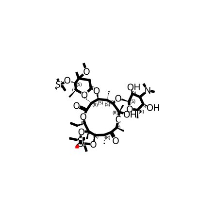 CC[C@H]1OC(=O)[C@H](C)[C@@H](O[C@H]2CC(C)(OC)[C@@H](O[Si](C)(C)C)[C@H](C)O2)[C@H](C)[C@@H](O[C@@H]2O[C@H](C)[C@@H](O)C(N(C)C)[C@H]2O)[C@](C)(O)C[C@@H](C)C(=O)[C@H](C)[C@@H](O[Si](C)(C)C)[C@]1(C)O[Si](C)(C)C